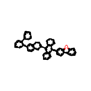 c1ccc(-c2ccccc2-c2ccc3cc(-c4c5ccccc5c(-c5ccc6c(c5)oc5ccccc56)c5ccccc45)ccc3c2)cc1